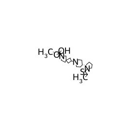 CCOC(O)N1CCC2(CC(N3CCC([C@@H]4CCCN4C(=S)CC)CC3)C2)C1